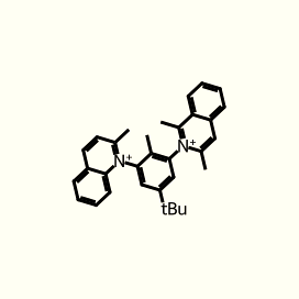 Cc1c(-[n+]2c(C)cc3ccccc3c2C)cc(C(C)(C)C)cc1-[n+]1c(C)ccc2ccccc21